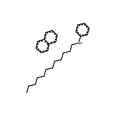 CCCCCCCCCCCCNc1ccccc1.c1ccc2ccccc2c1